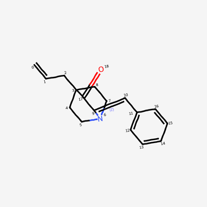 C=CCC12CCN(CC1)/C(=C\c1ccccc1)C2=O